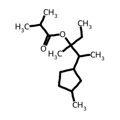 CCC(C)(OC(=O)C(C)C)C(C)C1CCC(C)C1